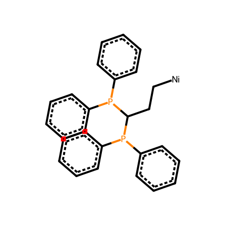 [Ni][CH2]CC(P(c1ccccc1)c1ccccc1)P(c1ccccc1)c1ccccc1